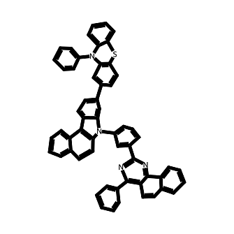 c1ccc(-c2nc(-c3cccc(-n4c5cc(-c6ccc7c(c6)N(c6ccccc6)c6ccccc6S7)ccc5c5c6ccccc6ccc54)c3)nc3c2ccc2ccccc23)cc1